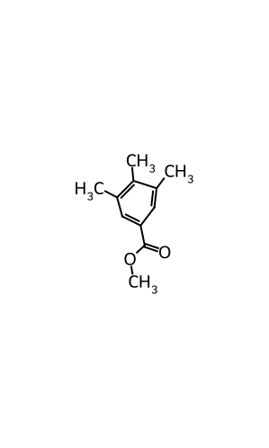 COC(=O)c1cc(C)c(C)c(C)c1